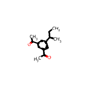 CCC(C)c1cc(C(C)=O)cc(C(C)=O)c1